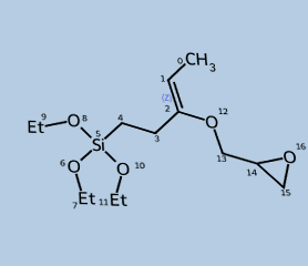 C/C=C(/CC[Si](OCC)(OCC)OCC)OCC1CO1